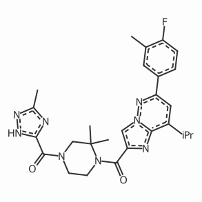 Cc1n[nH]c(C(=O)N2CCN(C(=O)c3cn4nc(-c5ccc(F)c(C)c5)cc(C(C)C)c4n3)C(C)(C)C2)n1